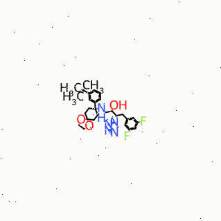 CC(C)(C)c1cccc(C2(NCC(O)C(Cc3cc(F)cc(F)c3)n3cnnn3)CCC3(CC2)OCCO3)c1